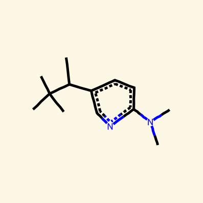 CC(c1ccc(N(C)C)nc1)C(C)(C)C